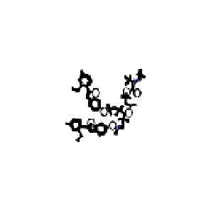 CCc1cc(C)ccc1-c1cc2ccc(O/C(C)=C\C(C)(C)C(OC(C)CC(C)(C)OC(=O)/C(=C/C(C)(C)C)C(C)(C)C)C(C)(C)CC(C)(C)Oc3ccc4cc(-c5ccc(C)cc5CC)oc4c3)cc2o1